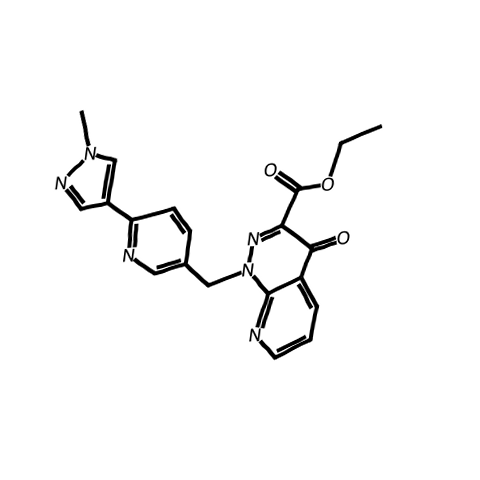 CCOC(=O)c1nn(Cc2ccc(-c3cnn(C)c3)nc2)c2ncccc2c1=O